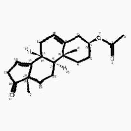 CC(=O)O[C@H]1CC[C@@]2(C)C(=CC[C@H]3C4=CCC(=O)[C@@]4(C)CC[C@@H]32)C1